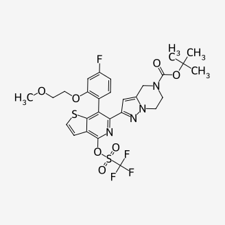 COCCOc1cc(F)ccc1-c1c(-c2cc3n(n2)CCN(C(=O)OC(C)(C)C)C3)nc(OS(=O)(=O)C(F)(F)F)c2ccsc12